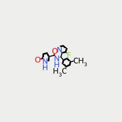 Cc1cc(C)cc([C@H](NC(=O)c2ccc(=O)[nH]c2)c2ncccc2F)c1